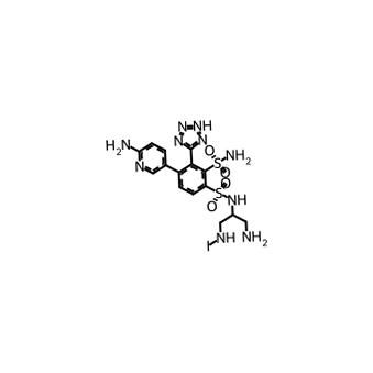 NCC(CNI)NS(=O)(=O)c1ccc(-c2ccc(N)nc2)c(-c2nn[nH]n2)c1S(N)(=O)=O